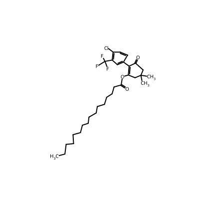 CCCCCCCCCCCCCCCC(=O)OC1=C(c2ccc(Cl)c(C(F)(F)F)c2)C(=O)CC(C)(C)C1